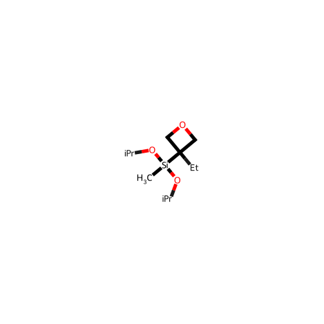 CCC1([Si](C)(OC(C)C)OC(C)C)COC1